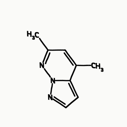 Cc1cc(C)c2ccnn2n1